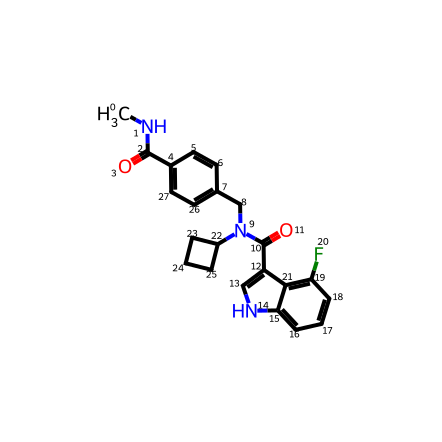 CNC(=O)c1ccc(CN(C(=O)c2c[nH]c3cccc(F)c23)C2CCC2)cc1